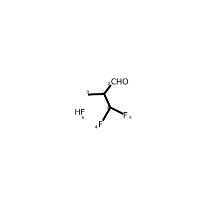 CC(C=O)C(F)F.F